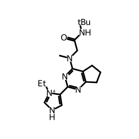 CC[n+]1c[nH]cc1-c1nc2c(c(N(C)CC(=O)NC(C)(C)C)n1)CCC2